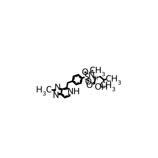 Cc1nc2cc[nH]c(Cc3ccc(S(=O)(=O)N(C)[C@@H](CC(C)C)C(=O)O)cc3)c-2n1